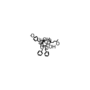 [2H][C@@]1(O)O[C@H](C(O)C(=O)CCC(C)=O)[C@H](OCc2ccccc2)[C@H](OCc2ccccc2)[C@]1(OCc1ccc(OC)cc1)C(C)C